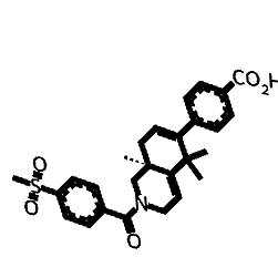 CC1(C)C(c2ccc(C(=O)O)cc2)=CC[C@]2(C)CN(C(=O)c3ccc(S(C)(=O)=O)cc3)CC=C12